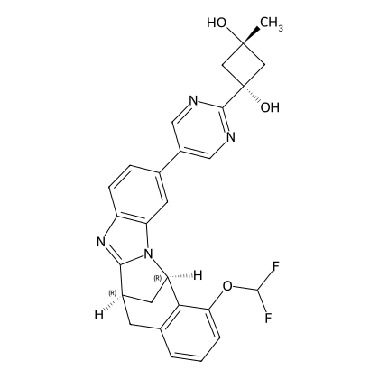 C[C@]1(O)C[C@](O)(c2ncc(-c3ccc4nc5n(c4c3)[C@@H]3C[C@H]5Cc4cccc(OC(F)F)c43)cn2)C1